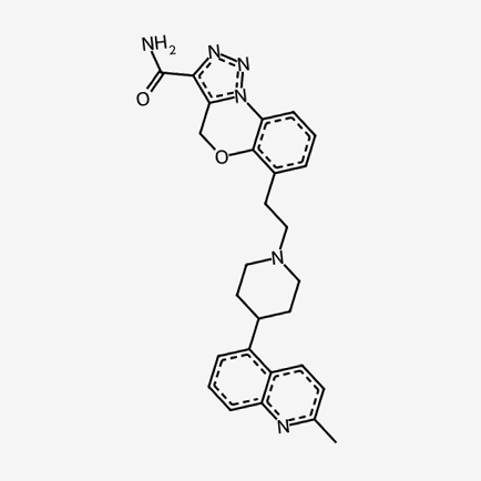 Cc1ccc2c(C3CCN(CCc4cccc5c4OCc4c(C(N)=O)nnn4-5)CC3)cccc2n1